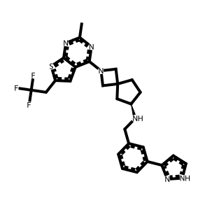 Cc1nc(N2CC3(CC[C@@H](NCc4cccc(-c5cc[nH]n5)c4)C3)C2)c2cc(CC(F)(F)F)sc2n1